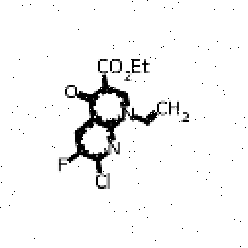 C=Cn1cc(C(=O)OCC)c(=O)c2cc(F)c(Cl)nc21